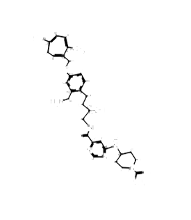 CC(=O)N1CCC(Nc2cc(C(=O)NC[C@@H](O)CCc3ccc(OCC4=CCC(O)=CC=C4C)cc3CN)ncn2)CC1